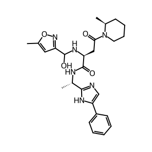 Cc1cc(C(O)N[C@@H](CC(=O)N2CCCC[C@@H]2C)C(=O)N[C@@H](C)c2ncc(-c3ccccc3)[nH]2)no1